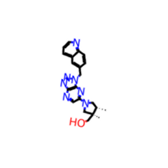 C[C@H]1CN(c2cnc3nnn(Cc4ccc5ncccc5c4)c3n2)C[C@]1(C)CO